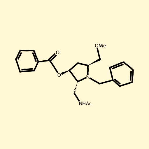 COC[C@@H]1C[C@H](OC(=O)c2ccccc2)[C@@H](CNC(C)=O)N1Cc1ccccc1